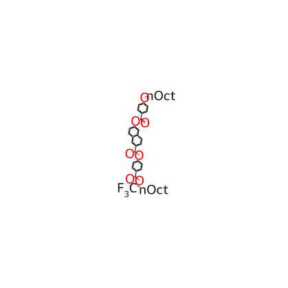 CCCCCCCCOc1ccc(C(=O)Oc2ccc3cc(C(=O)Oc4ccc(C(=O)OC(CCCCCCCC)C(F)(F)F)cc4)ccc3c2)cc1